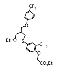 CCOCC(COc1ccc(C(F)(F)F)cc1)CSc1ccc(OCC(=O)OCC)c(C)c1